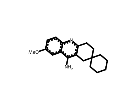 COc1ccc2nc3c(c(N)c2c1)CC1(CCCCC1)CC3